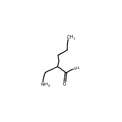 CCCC(CN)C(=O)S